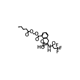 CCCCC(=O)OCOC(=O)c1cccc2c1OB(O)[C@@H](NC(=O)CC(F)(F)F)C2